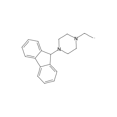 [CH2]CN1CCN(C2c3ccccc3-c3ccccc32)CC1